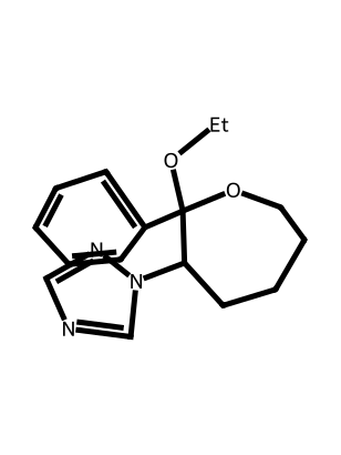 CCOC1(c2ccccc2)OCCCCC1n1cncn1